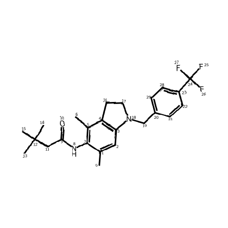 Cc1cc2c(c(C)c1NC(=O)CC(C)(C)C)CCN2Cc1ccc(C(F)(F)F)cc1